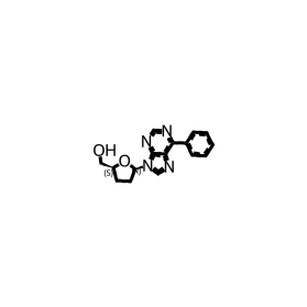 OC[C@@H]1CC[C@H](n2cnc3c(-c4ccccc4)ncnc32)O1